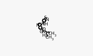 CCCC(CC)CNS(=O)(=O)c1ccc2nccc(Nc3ccc4scnc4c3)c2c1